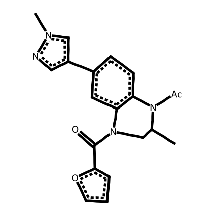 CC(=O)N1c2ccc(-c3cnn(C)c3)cc2N(C(=O)c2ccco2)CC1C